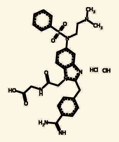 CN(C)CCN(c1ccc2c(c1)nc(Cc1ccc(C(=N)N)cc1)n2CC(=O)NCC(=O)O)S(=O)(=O)c1ccccc1.Cl.Cl